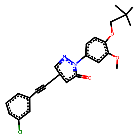 COc1cc(-n2ncc(C#Cc3cccc(Cl)c3)cc2=O)ccc1OCC(C)(C)C